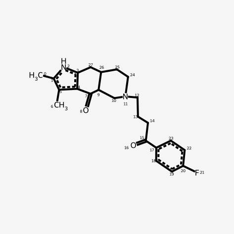 Cc1[nH]c2c(c1C)C(=O)C1CN(CCCC(=O)c3ccc(F)cc3)CCC1C2